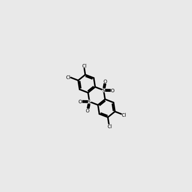 O=S1(=O)c2cc(Cl)c(Cl)cc2S(=O)(=O)c2cc(Cl)c(Cl)cc21